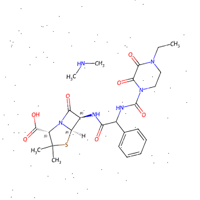 CCN1CCN(C(=O)NC(C(=O)N[C@@H]2C(=O)N3[C@@H]2SC(C)(C)[C@@H]3C(=O)O)c2ccccc2)C(=O)C1=O.CNC